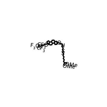 COCC(CCCCCCSSCCCN(C)CCOc1ccc2c(c1)CCC1C2CCC2(C)C(OCCCOC(C(F)(F)F)(C(F)(F)F)C(F)(F)F)CCC12)COC